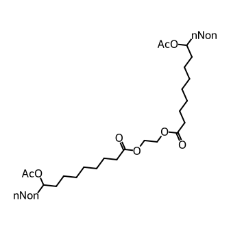 CCCCCCCCCC(CCCCCCCC(=O)OCCOC(=O)CCCCCCCC(CCCCCCCCC)OC(C)=O)OC(C)=O